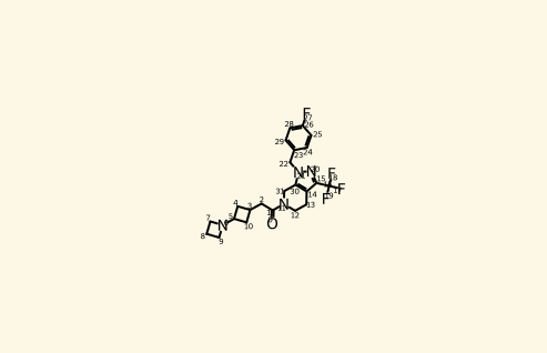 O=C(CC1CC(N2CCC2)C1)N1CCc2c(C(F)(F)F)nn(Cc3ccc(F)cc3)c2C1